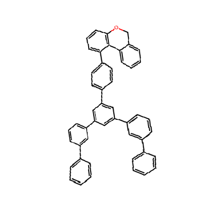 c1ccc(-c2cccc(-c3cc(-c4ccc(-c5cccc6c5-c5ccccc5CO6)cc4)cc(-c4cccc(-c5ccccc5)c4)c3)c2)cc1